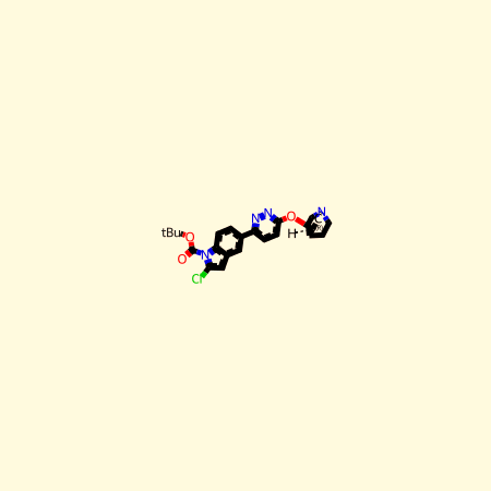 CC(C)(C)OC(=O)n1c(Cl)cc2cc(-c3ccc(O[C@H]4CN5CCC4CC5)nn3)ccc21